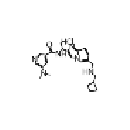 CC(NC(=O)c1cncc(N(C)C)c1)c1cn2cc(CNCC3CCC3)ccc2n1.Cl